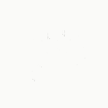 CNC(=O)Oc1cccc(NC(=S)NC(c2ccccc2)C(C)C)c1